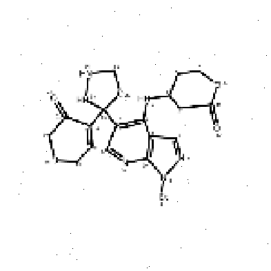 CCn1ncc2c(NC3CCOC(=O)C3)c(C3(C4=CCOCC4=O)NNCO3)cnc21